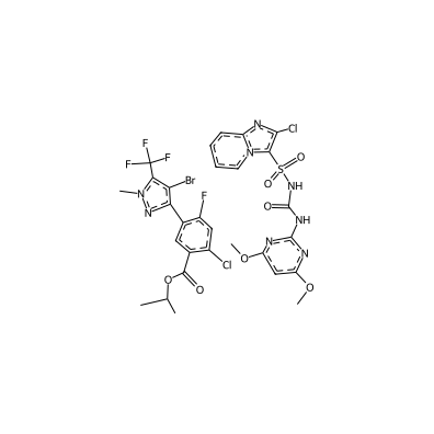 CC(C)OC(=O)c1cc(-c2nn(C)c(C(F)(F)F)c2Br)c(F)cc1Cl.COc1cc(OC)nc(NC(=O)NS(=O)(=O)c2c(Cl)nc3ccccn23)n1